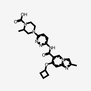 Cc1cn2cc(C(=O)Nc3ccc(N4CCN(C(=O)O)C(C)C4)nn3)c(OC3CCC3)cc2n1